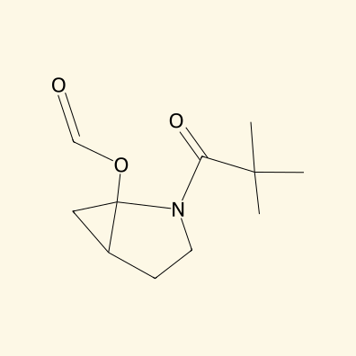 CC(C)(C)C(=O)N1CCC2CC21OC=O